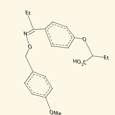 CCC(=NOCc1ccc(OC)cc1)c1ccc(OC(CC)C(=O)O)cc1